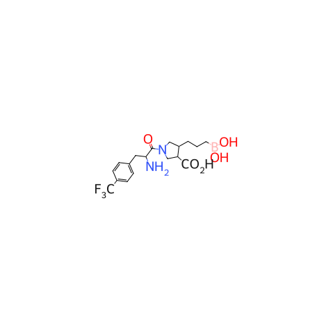 NC(Cc1ccc(C(F)(F)F)cc1)C(=O)N1CC(CCCB(O)O)C(C(=O)O)C1